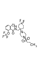 CCCS(=O)(=O)N1CCN(C2(CNC(=O)c3c(Cl)cccc3OC(F)(F)F)CCC(F)(F)CC2)CC1